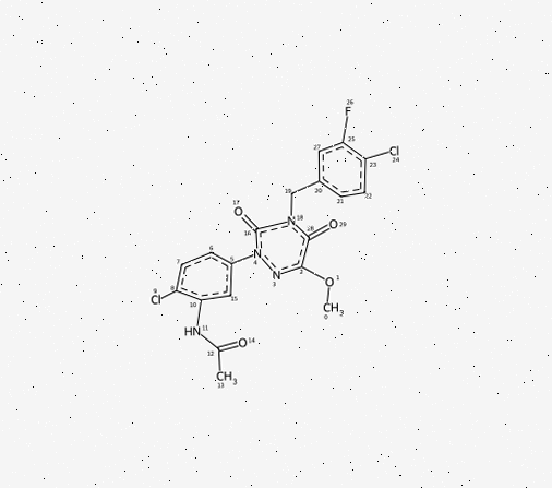 COc1nn(-c2ccc(Cl)c(NC(C)=O)c2)c(=O)n(Cc2ccc(Cl)c(F)c2)c1=O